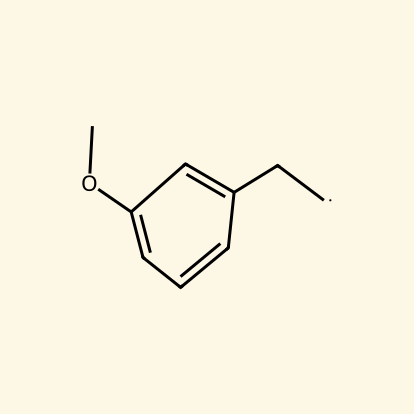 [CH2]Cc1cccc(OC)c1